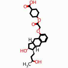 C[C@H](O)CC[C@@H]1[C@H]2Cc3cccc(OCC(=O)OC4CCC(C(=O)O)CC4)c3C[C@H]2C[C@H]1O